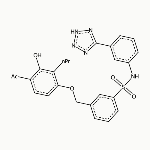 CCCc1c(OCc2cccc(S(=O)(=O)Nc3cccc(-c4nn[nH]n4)c3)c2)ccc(C(C)=O)c1O